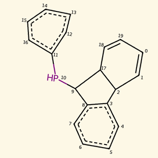 C1=CC2c3ccccc3C(Pc3ccccc3)C2C=C1